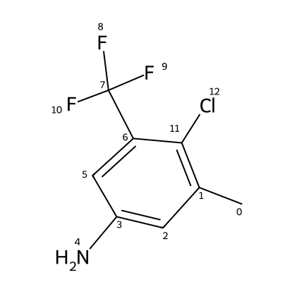 Cc1cc(N)cc(C(F)(F)F)c1Cl